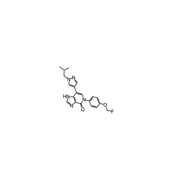 CC(C)Cn1cc(-c2cn(-c3ccc(OCF)cc3)c(=O)c3nc[nH]c23)cn1